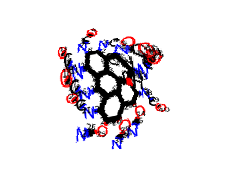 CC12C(N=C=O)C(N=C=O)C(N=C=O)C3C(N=C=O)C4C(N=C=O)C(OC#N)C(OC#N)C5C(OC#N)C(N=C=O)C(C(N=C=O)C1N=C=O)C(C)(C45)C32